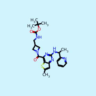 Cc1cc2nc(NC(C)c3ccccn3)nc(C(=O)N3CC(CNC(=O)OC(C)(C)C)C3)c2s1